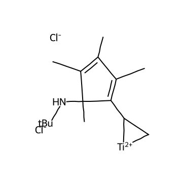 CC1=C(C)C(C)(NC(C)(C)C)C([CH]2[CH2][Ti+2]2)=C1C.[Cl-].[Cl-]